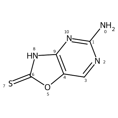 Nc1ncc2oc(=S)[nH]c2n1